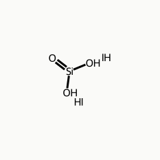 I.I.O=[Si](O)O